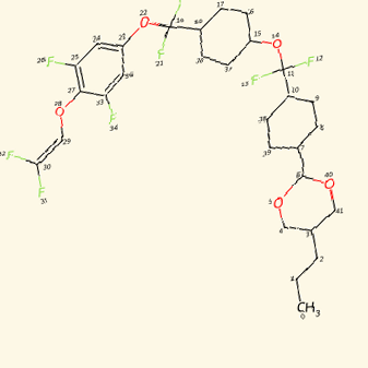 CCCC1COC(C2CCC(C(F)(F)OC3CCC(C(F)(F)Oc4cc(F)c(OC=C(F)F)c(F)c4)CC3)CC2)OC1